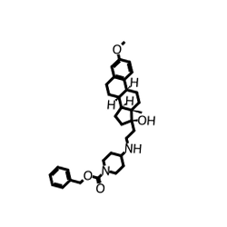 COc1ccc2c(c1)CC[C@@H]1[C@@H]2CC[C@@]2(C)[C@H]1CC[C@@]2(O)CCNC1CCN(C(=O)OCc2ccccc2)CC1